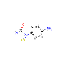 NC(=O)N(S)c1ccc(N)cc1